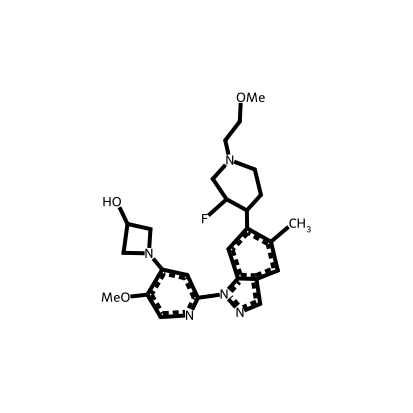 COCCN1CCC(c2cc3c(cnn3-c3cc(N4CC(O)C4)c(OC)cn3)cc2C)C(F)C1